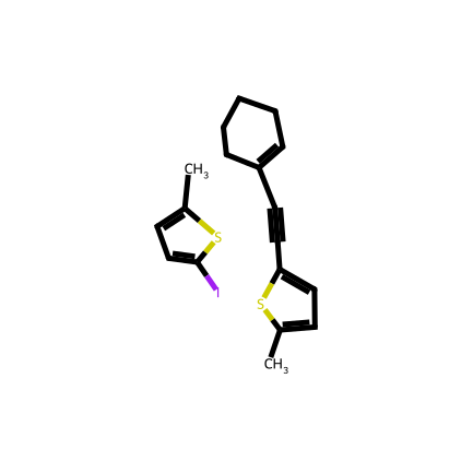 Cc1ccc(C#CC2=CCCCC2)s1.Cc1ccc(I)s1